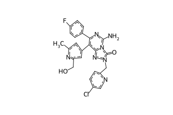 Cc1cc(-c2c(-c3ccc(F)cc3)nc(N)n3c(=O)n(Cc4ccc(Cl)cn4)nc23)cc(CO)n1